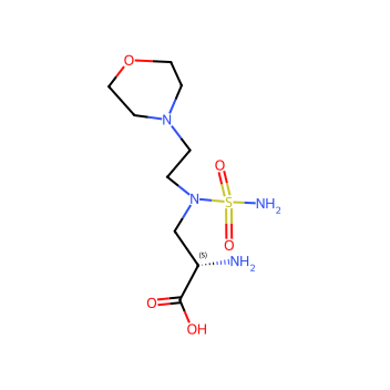 N[C@@H](CN(CCN1CCOCC1)S(N)(=O)=O)C(=O)O